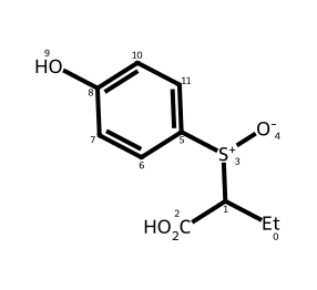 CCC(C(=O)O)[S+]([O-])c1ccc(O)cc1